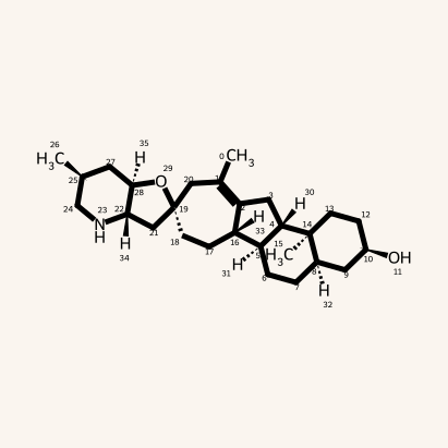 CC1=C2C[C@H]3[C@@H](CC[C@@H]4C[C@H](O)CC[C@@]43C)[C@@H]2CC[C@]2(C1)C[C@@H]1NC[C@@H](C)C[C@H]1O2